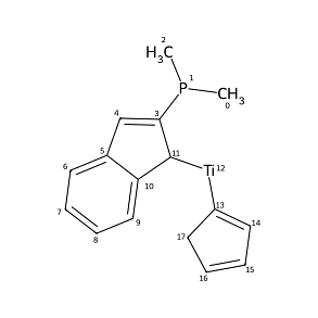 CP(C)C1=Cc2ccccc2[CH]1[Ti][C]1=CC=CC1